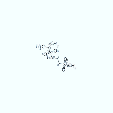 CC(C)S(=O)(=O)NCCS(C)(=O)=O